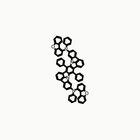 c1ccc(-c2c3c4cccc5c6ccc(N(c7ccccc7)c7cccc8oc9ccccc9c78)cc6n(c3c(-c3ccccc3)c3c6cccc7c8ccc(N(c9ccccc9)c9cccc%10oc%11ccccc%11c9%10)cc8n(c23)c76)c54)cc1